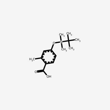 Cc1cc(O[Si](C)(C)C(C)(C)C)ccc1C(=O)O